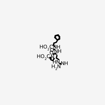 N=C(N)NCCC[C@H](NC(=O)N[C@@H](CCc1ccccc1)C(=O)O)C(=O)N1CCC[C@H]1C(=O)O